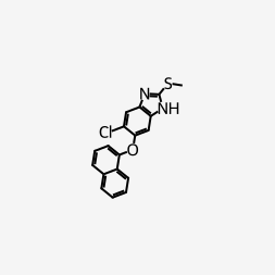 CSc1nc2cc(Cl)c(Oc3cccc4ccccc34)cc2[nH]1